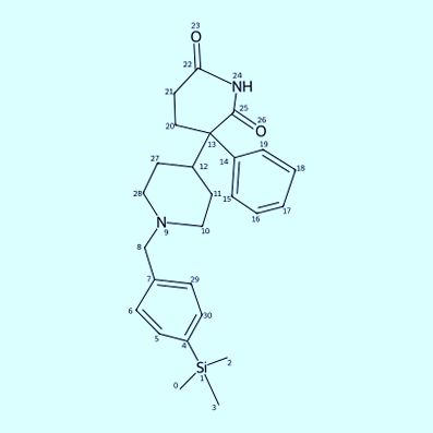 C[Si](C)(C)c1ccc(CN2CCC(C3(c4ccccc4)CCC(=O)NC3=O)CC2)cc1